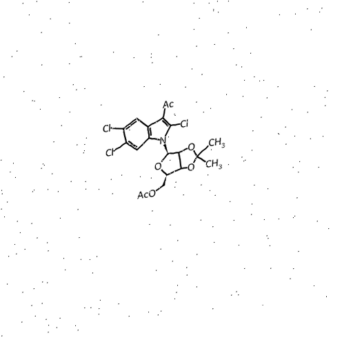 CC(=O)OC[C@H]1O[C@@H](n2c(Cl)c(C(C)=O)c3cc(Cl)c(Cl)cc32)C2OC(C)(C)OC21